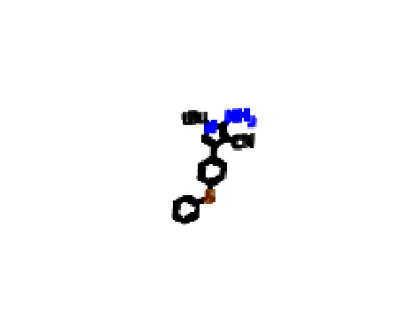 CC(C)(C)n1cc(-c2ccc(Sc3ccccc3)cc2)c(C#N)c1N